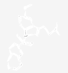 COc1ccc2c(c1)c(CCN(C)C)cn2S(=O)(=O)c1ccc2ccccc2c1